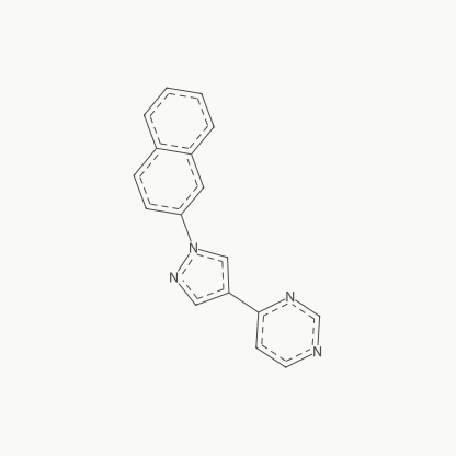 c1ccc2cc(-n3cc(-c4ccncn4)cn3)ccc2c1